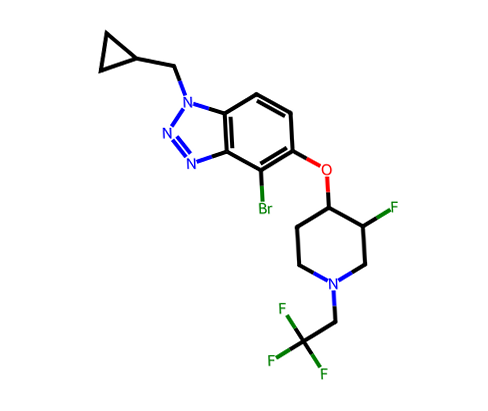 FC1CN(CC(F)(F)F)CCC1Oc1ccc2c(nnn2CC2CC2)c1Br